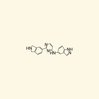 c1cc(Nc2ccc3[nH]ncc3c2)nc(-c2ccc3c(c2)CNC3)n1